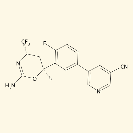 C[C@@]1(c2cc(-c3cncc(C#N)c3)ccc2F)C[C@@H](C(F)(F)F)N=C(N)O1